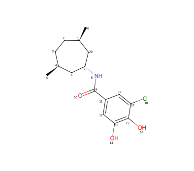 C[C@@H]1CC[C@H](C)C[C@@H](NC(=O)c2cc(O)c(O)c(Cl)c2)C1